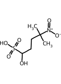 CC(C)(CCC(O)S(=O)(=O)O)[N+](=O)[O-]